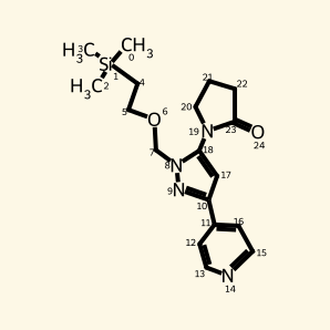 C[Si](C)(C)CCOCn1nc(-c2ccncc2)cc1N1CCCC1=O